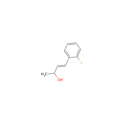 CC(O)C=Cc1ccccc1F